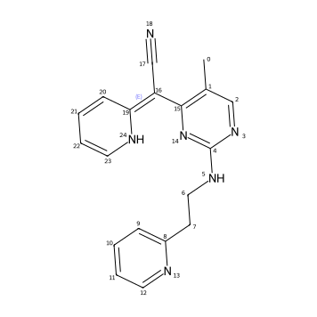 Cc1cnc(NCCc2ccccn2)nc1/C(C#N)=C1/C=CC=CN1